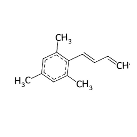 [CH]=C/C=C/c1c(C)cc(C)cc1C